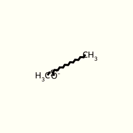 CCCCCCCCCCCCC[S+]([O-])CC